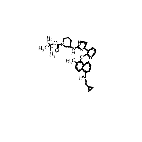 Cc1ccc2c(NCCC3CC3)cccc2c1Oc1ncccc1-c1ccnc(NC2CCCN(C(=O)OC(C)(C)C)C2)n1